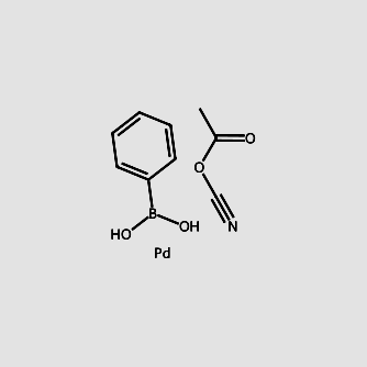 CC(=O)OC#N.OB(O)c1ccccc1.[Pd]